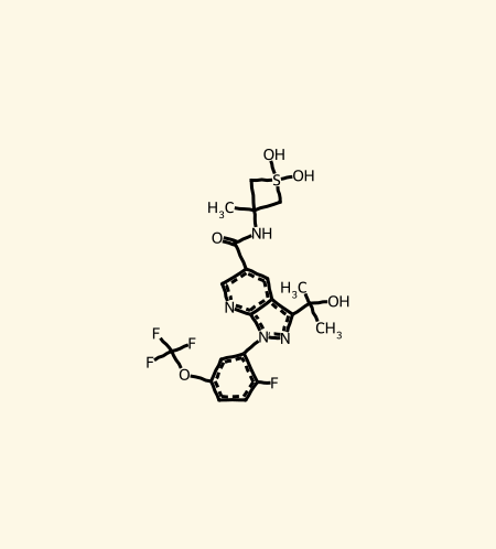 CC1(NC(=O)c2cnc3c(c2)c(C(C)(C)O)nn3-c2cc(OC(F)(F)F)ccc2F)CS(O)(O)C1